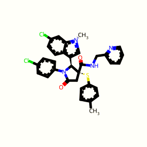 Cc1ccc(S[C@]2(C(=O)NCc3ccccn3)CC(=O)N(c3ccc(Cl)cc3)[C@H]2c2cn(C)c3cc(Cl)ccc23)cc1